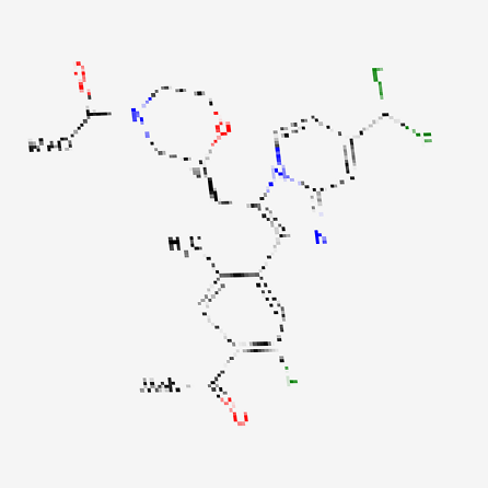 CNC(=O)c1cc(C)c(-c2nc3cc(C(F)F)ccn3c2C[C@H]2CN(C(=O)OC)CCO2)cc1F